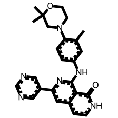 Cc1cc(Nc2nc(-c3cncnc3)cc3cc[nH]c(=O)c23)ccc1N1CCOC(C)(C)C1